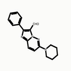 O=Cc1c(-c2ccccc2)nc2ccc(N3CCCCC3)nn12